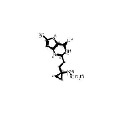 O=C(O)NC1(CCc2nc3cc(Br)sc3c(=O)[nH]2)CC1